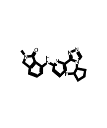 CN1Cc2cccc(Nc3cccc(-c4nncn4C4CCCC4F)n3)c2C1=O